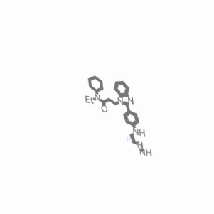 CCN(C(=O)CCn1c(-c2ccc(N/C=C\N=N)cc2)nc2ccccc21)C1CCCCC1